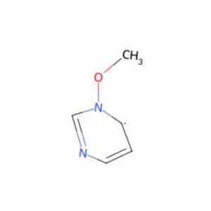 CON1[CH]C=CN=C1